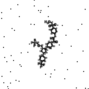 CCS(=O)(=O)c1ccc(CNC(=O)c2ccc(N3CC(c4ccc(C(F)(F)F)cc4)C[C@H]3COCC(F)(F)F)nc2)cc1